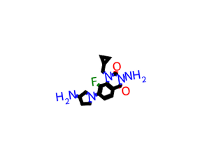 NC1CCN(c2ccc3c(=O)n(N)c(=O)n(CC4CC4)c3c2F)C1